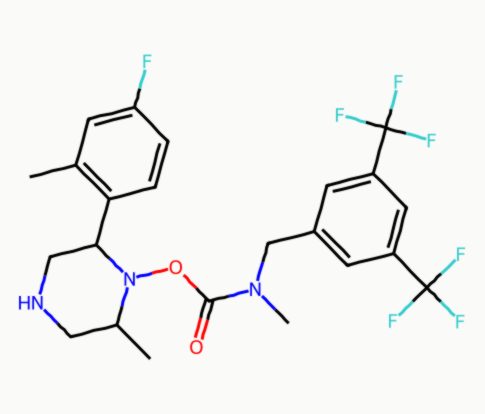 Cc1cc(F)ccc1C1CNCC(C)N1OC(=O)N(C)Cc1cc(C(F)(F)F)cc(C(F)(F)F)c1